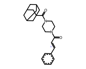 O=C(/C=C/c1ccccc1)N1CCN(C(=O)C23CC4CC(CC(C4)C2)C3)CC1